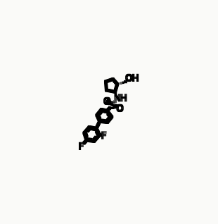 O=S(=O)(N[C@@H]1CCC[C@@H]1CO)c1ccc(-c2ccc(F)cc2F)cc1